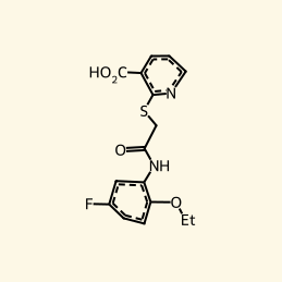 CCOc1ccc(F)cc1NC(=O)CSc1ncccc1C(=O)O